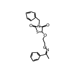 CC(=NOCCOC1SC(=O)N(Cc2ccccc2)C1=O)c1ccccc1